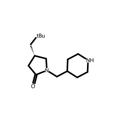 CC(C)(C)C[C@H]1CC(=O)N(CC2CCNCC2)C1